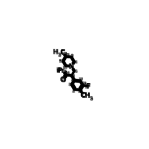 Cc1ccc([C@H](CN2CCC(C)CC2)C(=O)C(C)C)cc1F